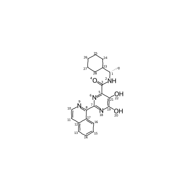 C[C@H](NC(=O)c1nc(-c2nccc3ccccc23)nc(O)c1O)C1CCCCC1